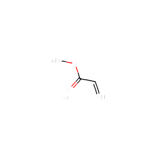 C=CC(=O)OCCC.[KH]